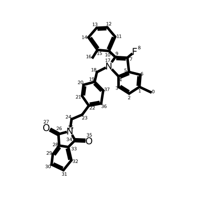 Cc1ccc2c(c1)c(F)c(-c1ccccc1C)n2Cc1ccc(CCN2C(=O)c3ccccc3C2=O)cc1